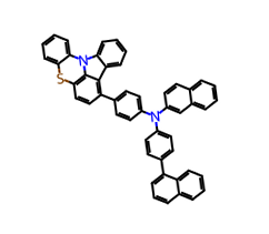 c1ccc2c(c1)Sc1ccc(-c3ccc(N(c4ccc(-c5cccc6ccccc56)cc4)c4ccc5ccccc5c4)cc3)c3c4ccccc4n-2c13